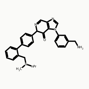 CCCN(C)Cc1ccccc1-c1ccc(C2N=Cc3ncn(-c4cccc(CN)c4)c3C2=O)cc1